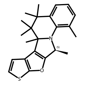 Cc1cccc2c1N1[C@@H](C)c3oc4sccc4c3C1(C)C(C)(C)C2(C)C